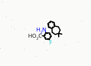 CC1(C)CCc2ccccc2CC1.Nc1ccc(F)cc1C(=O)O